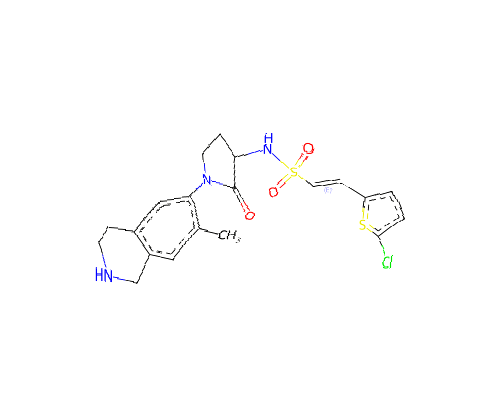 Cc1cc2c(cc1N1CCC(NS(=O)(=O)/C=C/c3ccc(Cl)s3)C1=O)CCNC2